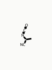 CI(C#N)N=C=O